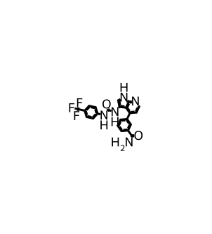 NC(=O)c1cccc(-c2ccnc3[nH]cc(NC(=O)Nc4ccc(C(F)(F)F)cc4)c23)c1